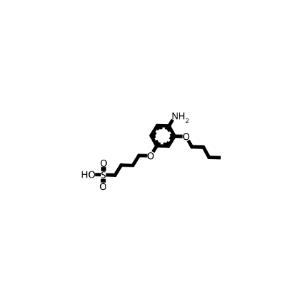 CCCCOc1cc(OCCCCS(=O)(=O)O)ccc1N